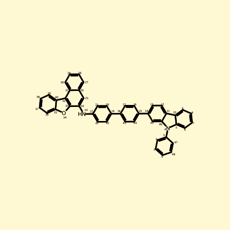 c1ccc(-n2c3ccccc3c3ccc(-c4ccc(-c5ccc(Nc6cc7ccccc7c7c6oc6ccccc67)cc5)cc4)cc32)cc1